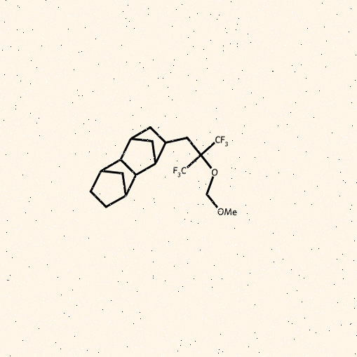 COCOC(CC1CC2CC1C1C3CCC(C3)C21)(C(F)(F)F)C(F)(F)F